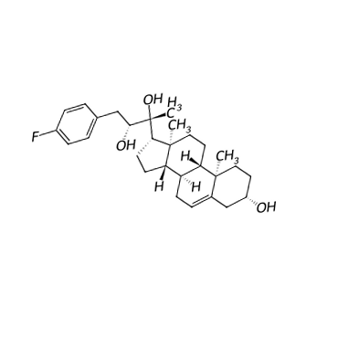 C[C@](O)([C@H](O)Cc1ccc(F)cc1)[C@H]1CC[C@H]2[C@@H]3CC=C4C[C@@H](O)CC[C@]4(C)[C@H]3CC[C@]12C